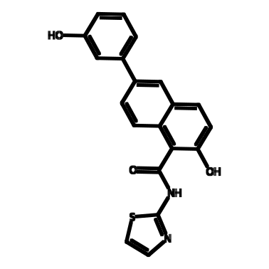 O=C(Nc1nccs1)c1c(O)ccc2cc(-c3cccc(O)c3)ccc12